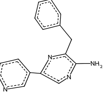 Nc1ncc(-c2cccnc2)nc1Cc1ccccc1